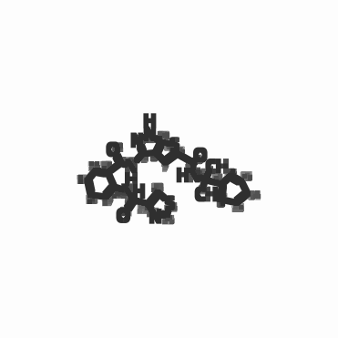 CC(C)(NC(=O)c1cc2c(NC(=O)c3ccccc3NC(=O)c3cscn3)n[nH]c2s1)c1ccccc1